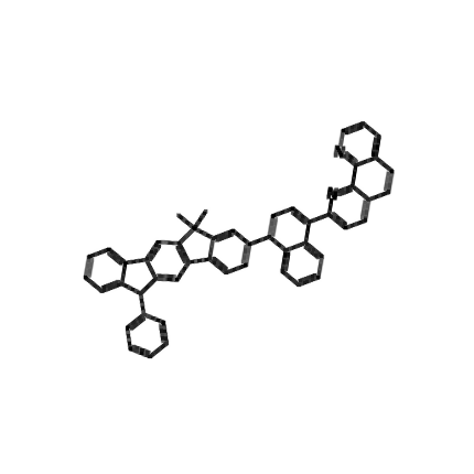 CC1(C)c2cc(-c3ccc(-c4ccc5ccc6cccnc6c5n4)c4ccccc34)ccc2-c2cc3c(cc21)-c1ccccc1C3c1ccccc1